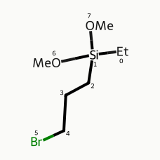 CC[Si](CCCBr)(OC)OC